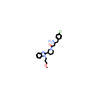 COCCCn1c(C2CCCN(C(=O)C[C@@H](N)Cc3ccc(Cl)cc3)C2)nc2ccccc21